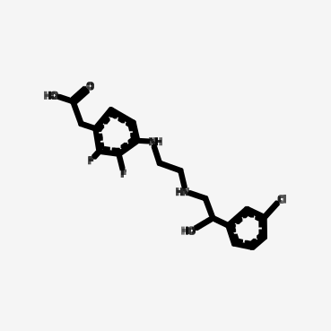 O=C(O)Cc1ccc(NCCNCC(O)c2cccc(Cl)c2)c(F)c1F